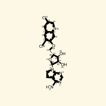 Nc1ncnc2c1ccn2[C@@H]1O[C@H](COc2cc3ncc(Cl)cc3cc2Cl)[C@@H](O)[C@H]1O